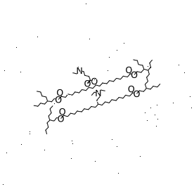 CCCCC(CCCC)CCOC(=O)CCCCCCCCCC(CCCCCCCCCC(=O)OCCC(CCCC)CCCCC(CCC)C(CCCC)CCOC(=O)CCCCCCCCCC(CCCCCCCCCC(=O)OCCC(CCCC)CCCC)OC(=O)CCCN(C)CC)CCN(CC)CC